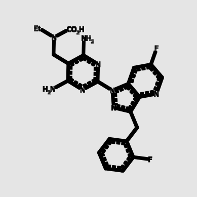 CCN(Cc1c(N)nc(-n2nc(Cc3ccccc3F)c3ncc(F)cc32)nc1N)C(=O)O